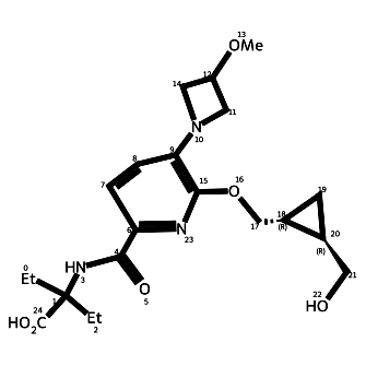 CCC(CC)(NC(=O)c1ccc(N2CC(OC)C2)c(OC[C@@H]2C[C@H]2CO)n1)C(=O)O